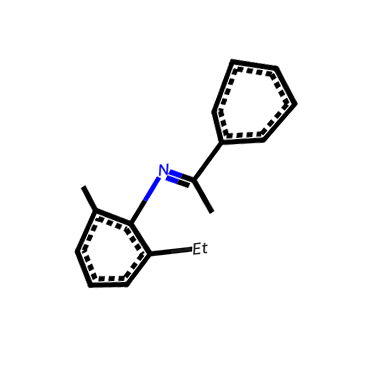 CCc1cccc(C)c1/N=C(\C)c1ccccc1